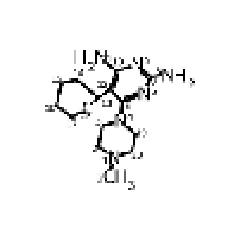 CN1CCN(c2nc(N)nc(N)c2C2CCCCC2)CC1